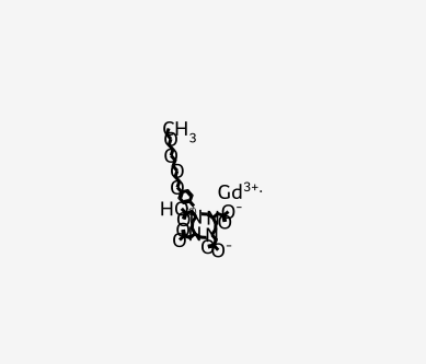 CCOCCOCCOCCOc1ccc(C[C@@H](C(=O)O)N2CCN(CC(=O)[O-])CCN(CC(=O)[O-])CCN(CC(=O)[O-])CC2)cc1.[Gd+3]